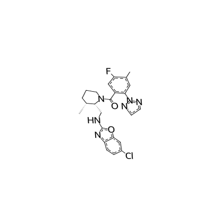 Cc1cc(-n2nccn2)c(C(=O)N2CCC[C@@H](C)[C@H]2CNc2nc3ccc(Cl)cc3o2)cc1F